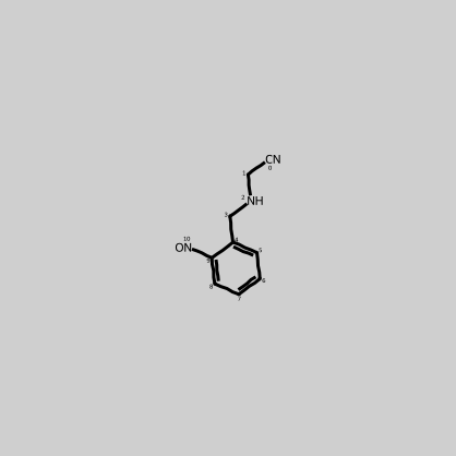 N#CCNCc1ccccc1N=O